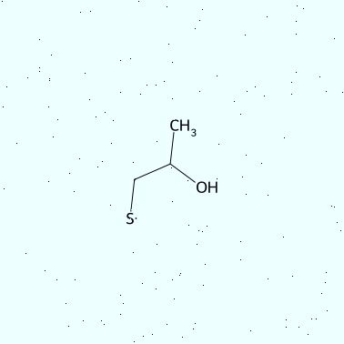 CC(O)C[S]